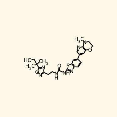 CN1CCOc2cc(-c3ccc4nc(NC(=O)NCCc5noc(C(C)(C)CO)n5)sc4c3)cnc21